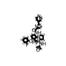 O=C(Nc1ccc(Oc2ccccc2F)c(C(F)(F)F)c1N1CCC[C@@H]1CNC1COC1)c1csc(-c2ccnnc2)n1